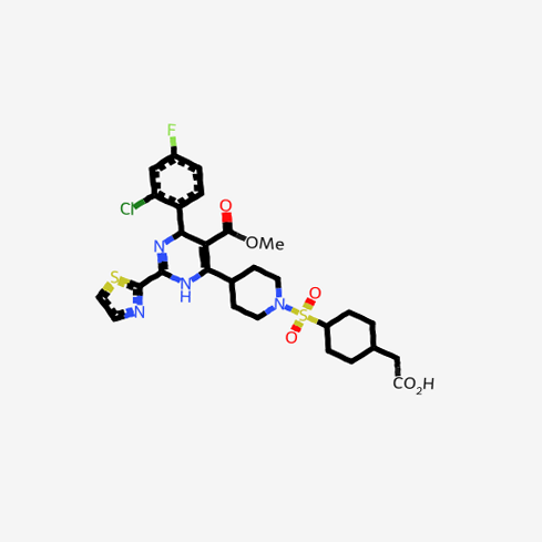 COC(=O)C1=C(C2CCN(S(=O)(=O)C3CCC(CC(=O)O)CC3)CC2)NC(c2nccs2)=NC1c1ccc(F)cc1Cl